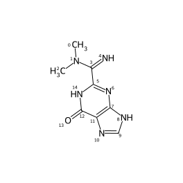 CN(C)C(=N)c1nc2[nH]cnc2c(=O)[nH]1